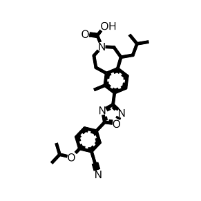 Cc1c(-c2noc(-c3ccc(OC(C)C)c(C#N)c3)n2)ccc2c1CCN(C(=O)O)CC2CC(C)C